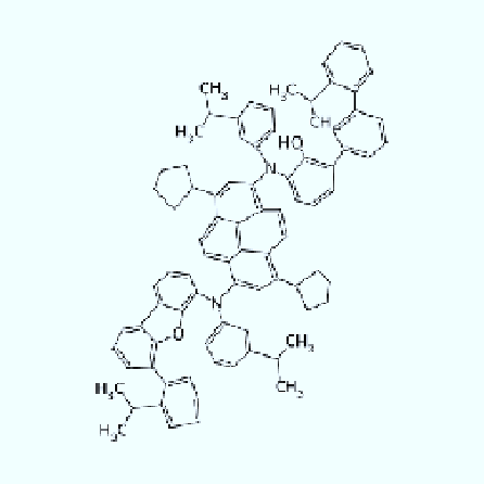 CC(C)c1cccc(N(c2cccc(-c3cccc(-c4ccccc4C(C)C)c3)c2O)c2cc(C3CCCC3)c3ccc4c(N(c5cccc(C(C)C)c5)c5cccc6c5oc5c(-c7ccccc7C(C)C)cccc56)cc(C5CCCC5)c5ccc2c3c54)c1